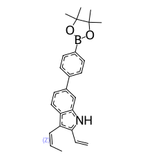 C=Cc1[nH]c2cc(-c3ccc(B4OC(C)(C)C(C)(C)O4)cc3)ccc2c1/C=C\C